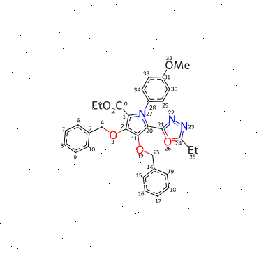 CCOC(=O)c1c(OCc2ccccc2)c(OCc2ccccc2)c(-c2nnc(CC)o2)n1-c1ccc(OC)cc1